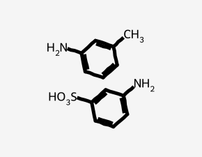 Cc1cccc(N)c1.Nc1cccc(S(=O)(=O)O)c1